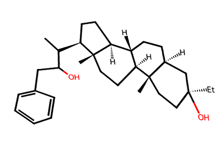 CC[C@]1(O)CC[C@@]2(C)[C@@H](CC[C@@H]3[C@@H]2CC[C@]2(C)[C@@H](C(C)C(O)Cc4ccccc4)CC[C@@H]32)C1